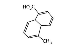 CC1=CC=CC2C(C(=O)O)=CC=CC12